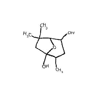 CC1CC(O)C2OC1(O)CC2(C)C